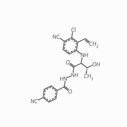 C=Cc1c(NC(C(=O)NNC(=O)c2ccc(C#N)cc2)[C@H](C)O)ccc(C#N)c1Cl